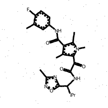 Cc1noc(C(NC(=O)C(=O)c2c(C)c(C(=O)Nc3ccc(F)c(C)c3)c(C)n2C)C(C)C)n1